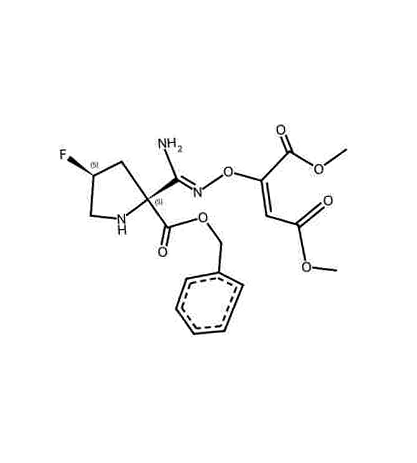 COC(=O)C=C(ON=C(N)[C@]1(C(=O)OCc2ccccc2)C[C@H](F)CN1)C(=O)OC